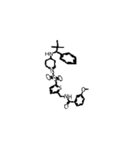 COc1cccc(C(=O)NCc2ccc(S(=O)(=O)N3CCC(NC(c4ccccc4)C(C)(C)C)CC3)s2)c1